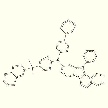 CC(C)(c1ccc(N(c2ccc(-c3ccccc3)cc2)c2ccc3c4ccc5ccccc5c4n(-c4ccccc4)c3c2)cc1)c1ccc2ccccc2c1